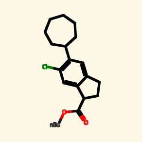 CCCCOC(=O)C1CCc2cc(C3CCCCCC3)c(Cl)cc21